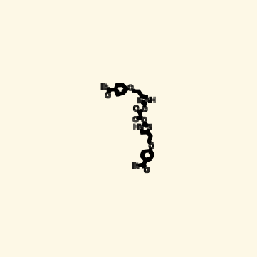 CCC(=O)c1ccc(OCCc2c[nH]c(OC(=O)C(=O)Oc3nc(CCOc4ccc(C(=O)CC)cc4)c[nH]3)n2)cc1